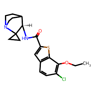 CCOc1c(Cl)ccc2cc(C(=O)N[C@@H]3C4CCN(CC4)C34CC4)sc12